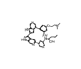 CCCC(O)Nc1cncc(-c2cc3c(-c4cc5c(-c6cc(F)cc(OCCN(C)C)c6)cncc5[nH]4)n[nH]c3cn2)c1